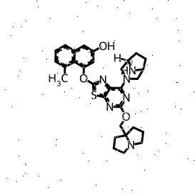 Cc1cccc2cc(O)cc(Oc3nc4c(N5CC6CC[C@@H](C5)N6)nc(OCC56CCCN5CCC6)nc4s3)c12